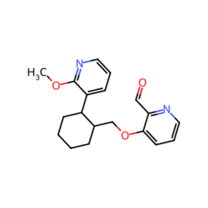 COc1ncccc1C1CCCCC1COc1cccnc1C=O